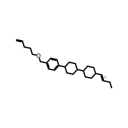 C=CCCCOCc1ccc(C2CCC(C3CCC(/C=C/CC)CC3)CC2)cc1